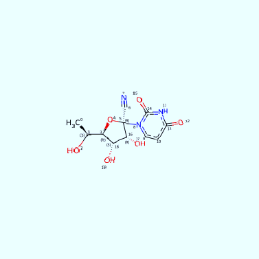 C[C@H](O)[C@H]1O[C@@](C#N)(n2ccc(=O)[nH]c2=O)[C@H](O)[C@@H]1O